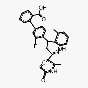 Cc1ccccc1C(C/C(=N\O)c1ccc(=O)[nH]c1C)c1ccc(-c2ccccc2C(=O)O)cc1F